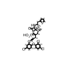 O=C(Cc1cccs1)NC1C(=O)N2C(C(=O)O)=C(CC#COc3cc(Cl)ccc3Oc3ccc(Cl)cc3Cl)C[S+]([O-])[C@@H]12